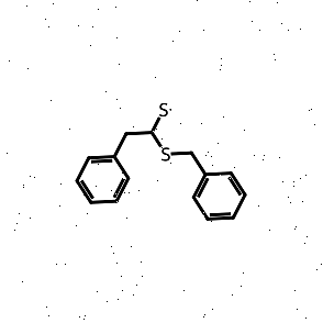 [S]C(Cc1ccccc1)SCc1ccccc1